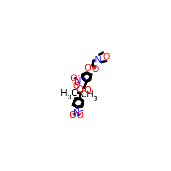 CC(C)(OC(=O)c1ccc(OC(=O)CN2CCOCC2)cc1[N+](=O)[O-])c1ccc([N+](=O)[O-])cc1